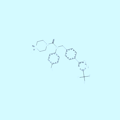 O=C(N1CCS(=O)(=O)CC1)N(Cc1ccc(-c2nnc(C(F)(F)F)o2)cc1)c1ccc(Cl)cc1